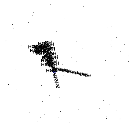 CCCCCCCCCCCCC/C=C/[C@@H](O)[C@H](CO[C@@H]1OC(CO)[C@@H](O[C@@H]2OC(CO)[C@H](O[C@@H]3OC(CO)[C@H](O)[C@H](O[C@@H]4OC(CO)[C@H](O)[C@H](O[C@@H]5OC(CO[C@]6(C(=O)O)CC(O)[C@@H](NC(C)=O)C([C@H](O)[C@H](O)CO)O6)[C@H](O)[C@H](O)C5O)C4NC(C)=O)C3O)[C@H](O)C2O)[C@H](O)C1O)NC(=O)CCCCCCCCCCCCCCCCCCCCCCCCC